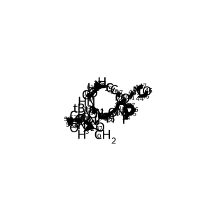 C=C[C@@H]1C[C@]1(NC(=O)[C@@H]1C[C@@H]2CN1C(=O)[C@H](C(C)(C)C)NC(=O)O[C@@H]1C[C@H]1CCCCCc1c(nc3c(F)cccc3c1OCCN1CCOCC1)O2)C(=O)NS(=O)(=O)C1(C)CC1